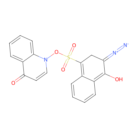 [N-]=[N+]=C1CC(S(=O)(=O)On2ccc(=O)c3ccccc32)=c2ccccc2=C1O